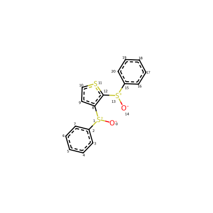 [O-][S+](c1ccccc1)c1ccsc1[S+]([O-])c1ccccc1